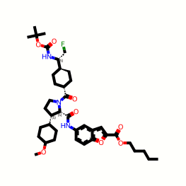 CCCCCOC(=O)c1cc2cc(NC(=O)[C@@H]3[C@H](C4CCC(OC)CC4)CCN3C(=O)[C@H]3CC[C@H]([C@@H](CF)NC(=O)OC(C)(C)C)CC3)ccc2o1